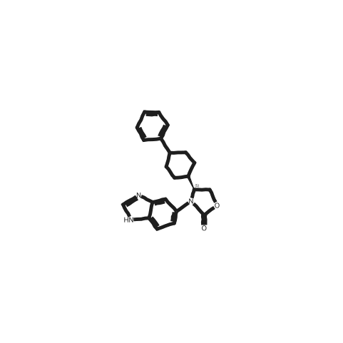 O=C1OC[C@H](C2CCC(c3ccccc3)CC2)N1c1ccc2[nH]cnc2c1